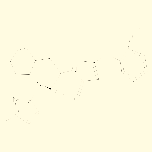 COc1ccccc1OC1=CC(=O)N(C(CC2CCCCC2)C(=O)Nc2ccn(C)n2)C1